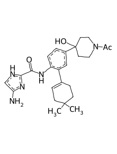 CC(=O)N1CCC(O)(c2ccc(NC(=O)c3nc(N)c[nH]3)c(C3=CCC(C)(C)CC3)c2)CC1